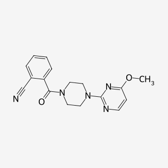 COc1ccnc(N2CCN(C(=O)c3ccccc3C#N)CC2)n1